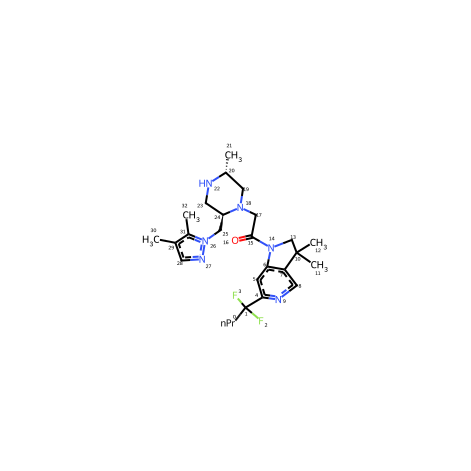 CCCC(F)(F)c1cc2c(cn1)C(C)(C)CN2C(=O)CN1C[C@@H](C)NC[C@@H]1Cn1ncc(C)c1C